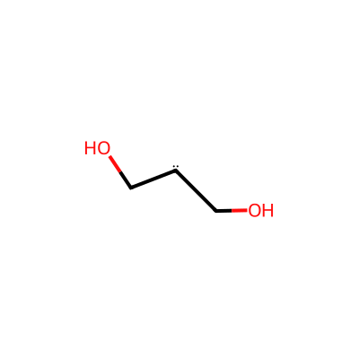 OC[C]CO